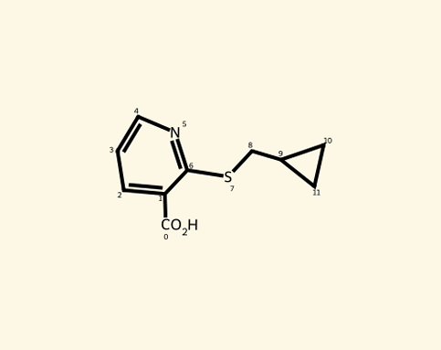 O=C(O)c1cccnc1SCC1CC1